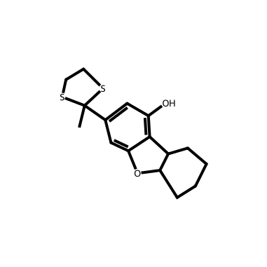 CC1(c2cc(O)c3c(c2)OC2CCCCC32)SCCS1